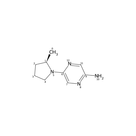 C[C@@H]1CCCN1c1cnc(N)cn1